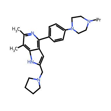 Cc1nc(-c2ccc(N3CCN(C(C)C)CC3)cc2)c2cc(CN3CCCC3)[nH]c2c1C